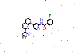 CC(C)CC(N)c1ccc2cccc(-c3ccnc(NC(=O)c4cccc(F)c4)c3)c2n1